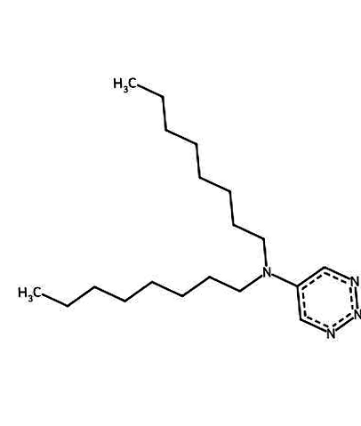 CCCCCCCCN(CCCCCCCC)c1cnnnc1